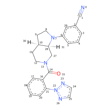 N#Cc1cccc(N2CC[C@@H]3CCN(C(=O)c4ccccc4-n4nccn4)C[C@@H]32)c1